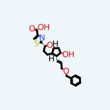 O=C(O)c1csc([C@H]2CC[C@@H]3[C@@H](/C=C/COCc4ccccc4)[C@H](O)C[C@@H]3O2)n1